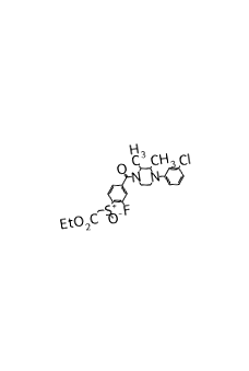 CCOC(=O)C[S+]([O-])c1ccc(C(=O)N2CCN(c3cccc(Cl)c3)C(C)C2C)cc1F